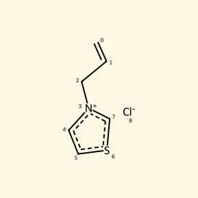 C=CC[n+]1ccsc1.[Cl-]